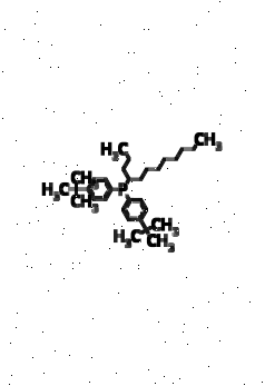 CCCCCCCCC(CCC)P(c1ccc(C(C)(C)C)cc1)c1ccc(C(C)(C)C)cc1